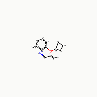 C/C=C/C=N\c1c(C)cccc1OC1CCC1